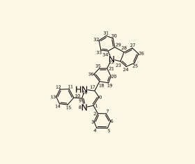 C1=C(c2ccccc2)N=C(c2ccccc2)NC1c1ccc(-n2c3ccccc3c3ccccc32)cc1